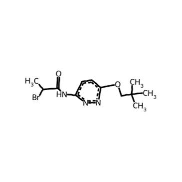 CC(Br)C(=O)Nc1ccc(OCC(C)(C)C)nn1